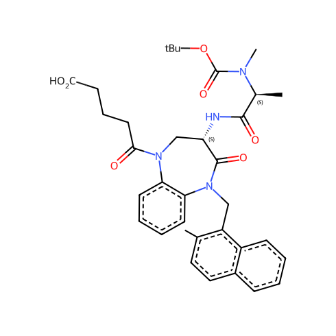 Cc1ccc2ccccc2c1CN1C(=O)[C@@H](NC(=O)[C@H](C)N(C)C(=O)OC(C)(C)C)CN(C(=O)CCCC(=O)O)c2ccccc21